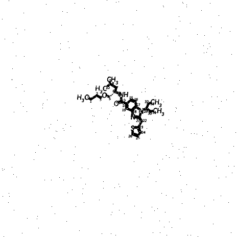 CCCCOC[C@H](CC(C)C)NC(=O)c1ccc2c(c1)nc(Cc1cccs1)n2C(CC)CC